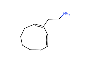 NCCC1=CCCCCCC=C1